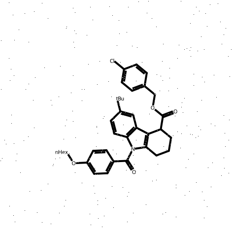 CCCCCCOc1ccc(C(=O)n2c3c(c4cc(C(C)(C)C)ccc42)C(C(=O)OCc2ccc(Cl)cc2)CCC3)cc1